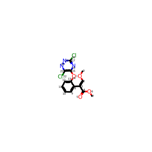 CO/C=C(/C(=O)OC)c1ccccc1Oc1nc(Cl)nnc1Cl